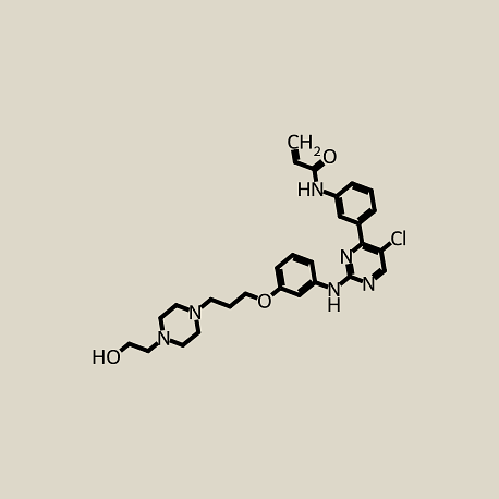 C=CC(=O)Nc1cccc(-c2nc(Nc3cccc(OCCCN4CCN(CCO)CC4)c3)ncc2Cl)c1